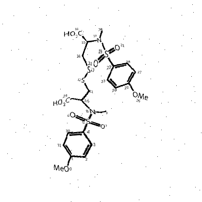 COc1ccc(S(=O)(=O)N(C)C(CSSC[C@@H](C(=O)O)N(C)S(=O)(=O)c2ccc(OC)cc2)C(=O)O)cc1